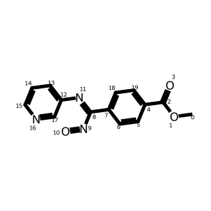 COC(=O)c1ccc(C(N=O)=Nc2cccnc2)cc1